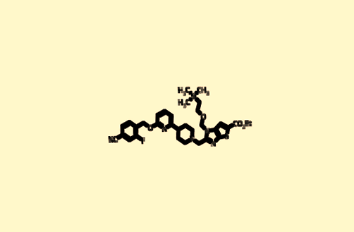 CCOC(=O)c1cc2c(nc(CN3CCC(c4cccc(OCc5ccc(C#N)cc5F)n4)CC3)n2COCC[Si](C)(C)C)s1